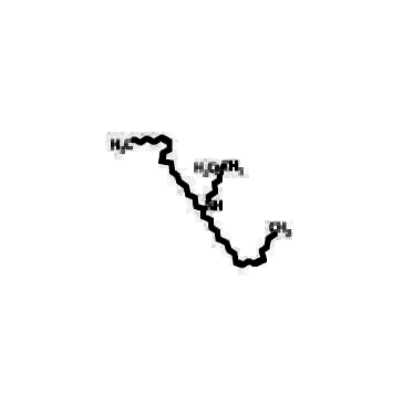 CCCCC/C=C\C/C=C\CCCCCCCCC(CCCCCCCC/C=C\C/C=C\CCCCC)NCCCCN(C)C